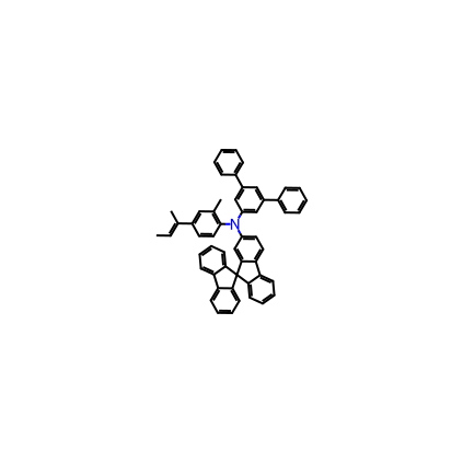 C/C=C(\C)c1ccc(N(c2cc(-c3ccccc3)cc(-c3ccccc3)c2)c2ccc3c(c2)C2(c4ccccc4-c4ccccc42)c2ccccc2-3)c(C)c1